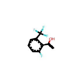 C=C(O)c1c(F)cccc1C(F)(F)F